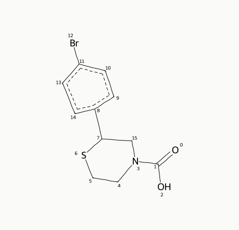 O=C(O)N1CCSC(c2ccc(Br)cc2)C1